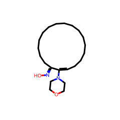 ON=C1CCCCCCCCCCCCCCCC=C1N1CCOCC1